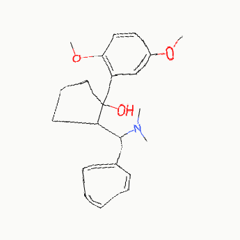 COc1ccc(OC)c(C2(O)CCCCC2C(c2ccccc2)N(C)C)c1